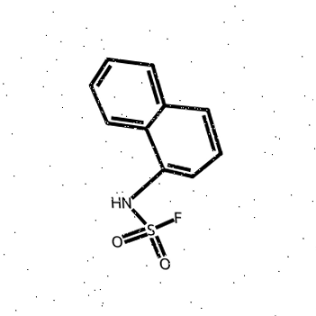 O=S(=O)(F)Nc1cccc2ccccc12